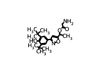 CC(OC(=O)CN)c1cc(-c2cc(C(C)(C)C)c(O)c(C(C)(C)C)c2)no1